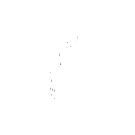 [C-]#[N+]CCCC#N